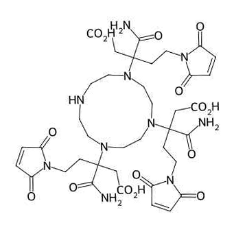 NC(=O)C(CCN1C(=O)C=CC1=O)(CC(=O)O)N1CCNCCN(C(CCN2C(=O)C=CC2=O)(CC(=O)O)C(N)=O)CCN(C(CCN2C(=O)C=CC2=O)(CC(=O)O)C(N)=O)CC1